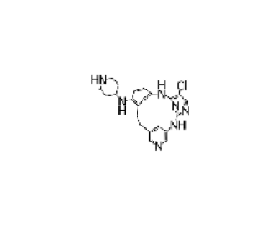 Clc1cnc2nc1Nc1ccc(NC3CCNCC3)c(c1)CCc1cncc(c1)N2